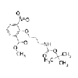 COC(=O)c1cccc([N+](=O)[O-])c1OCCCNC(=O)OC(C)(C)C